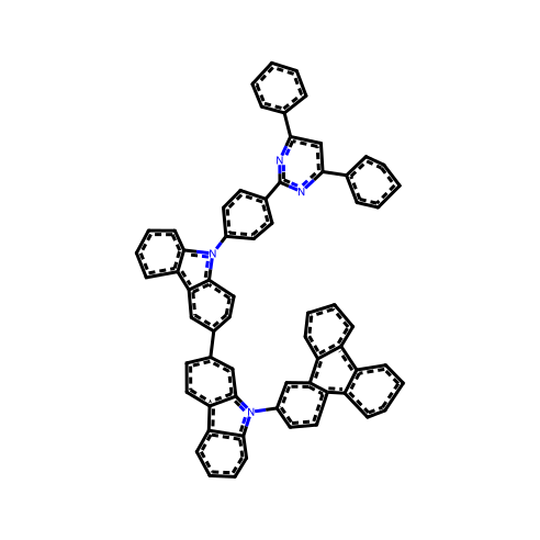 c1ccc(-c2cc(-c3ccccc3)nc(-c3ccc(-n4c5ccccc5c5cc(-c6ccc7c8ccccc8n(-c8ccc9c%10ccccc%10c%10ccccc%10c9c8)c7c6)ccc54)cc3)n2)cc1